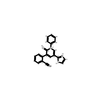 N#Cc1ccccc1-c1cc(-c2nccs2)cn(-c2ccccc2)c1=O